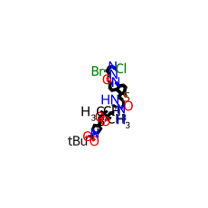 CC(C)(C)OC(=O)N1CC=C(B2OC(C)(C)C(C)(CC[C@@H]3CNc4c(sc5ccc6nc(Oc7nc(Cl)ncc7Br)ccc6c45)C(=O)N3)O2)CC1